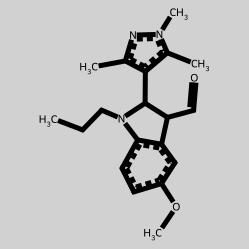 CCCN1c2ccc(OC)cc2C(C=O)C1c1c(C)nn(C)c1C